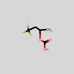 CC(CC(F)(F)F)OC(=O)O